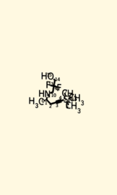 C[C@H](CC#C[Si](C)(C)C)NCC(F)(F)CO